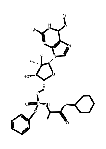 CCOC1NC(N)=Nc2c1ncn2[C@@H]1O[C@H](COP(=O)(NC(C)C(=O)OC2CCCCC2)Oc2ccccc2)[C@@H](O)[C@@]1(C)Cl